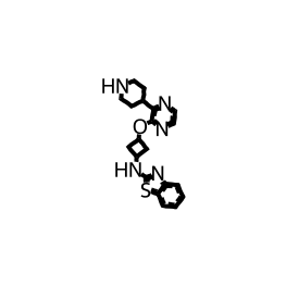 c1ccc2sc(NC3CC(Oc4nccnc4C4CCNCC4)C3)nc2c1